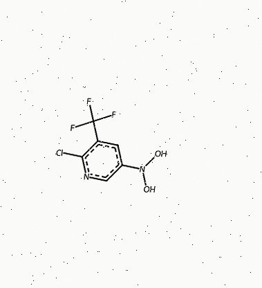 ON(O)c1cnc(Cl)c(C(F)(F)F)c1